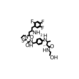 CC(Nc1ccc(CNC(=O)[C@@H]2SCCN2C(=O)C[C@H](N)Cc2cc(F)c(F)cc2F)cc1)[C@@H](C)C(=O)NCCO